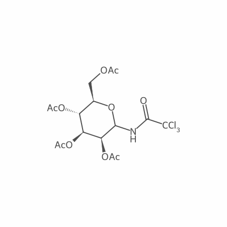 CC(=O)OC[C@H]1OC(NC(=O)C(Cl)(Cl)Cl)[C@@H](OC(C)=O)[C@@H](OC(C)=O)[C@@H]1OC(C)=O